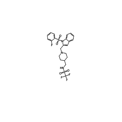 O=S(=O)(c1ccccc1F)n1c(CN2CCC(CNS(=O)(=O)C(F)(F)F)CC2)cc2ccccc21